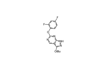 CC(C)COc1n[nH]c2nc(Oc3ccc(F)cc3F)ncc12